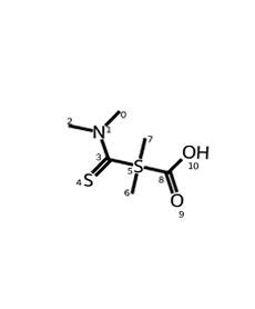 CN(C)C(=S)S(C)(C)C(=O)O